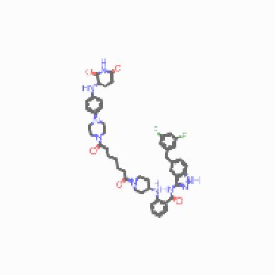 O=C1CCC(Nc2ccc(N3CCN(C(=O)CCCCCC(=O)N4CCC(Nc5ccccc5C(=O)Nc5n[nH]c6ccc(Cc7cc(F)cc(F)c7)cc56)CC4)CC3)cc2)C(=O)N1